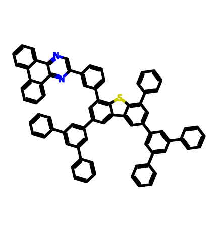 c1ccc(-c2cc(-c3ccccc3)cc(-c3cc(-c4ccccc4)c4sc5c(-c6cccc(-c7cnc8c9ccccc9c9ccccc9c8n7)c6)cc(-c6cc(-c7ccccc7)cc(-c7ccccc7)c6)cc5c4c3)c2)cc1